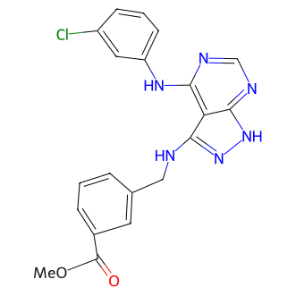 COC(=O)c1cccc(CNc2n[nH]c3ncnc(Nc4cccc(Cl)c4)c23)c1